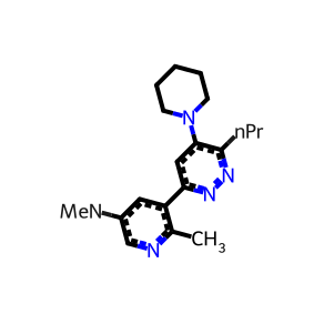 CCCc1nnc(-c2cc(NC)cnc2C)cc1N1CCCCC1